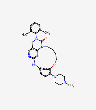 Cc1cccc(C)c1N1Cc2cnc3nc2N(CCCCOc2cc(ccc2N2CCN(C)CC2)N3)C1=O